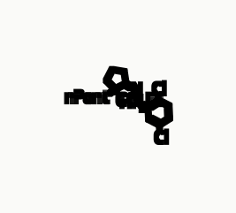 CCCCCC1(C(=O)OCC)CCC/C1=N/Nc1cc(Cl)ccc1Cl